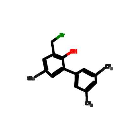 CC(C)(C)c1cc(CBr)c(O)c(-c2cc(C(F)(F)F)cc(C(F)(F)F)c2)c1